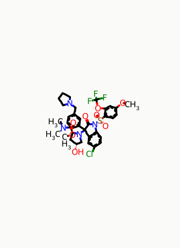 COc1ccc(S(=O)(=O)N2C(=O)C(c3cc(CN4CCCC4)ccc3OC)(N3C[C@H](O)C[C@H]3C(=O)N(C)C)c3cc(Cl)ccc32)c(OC(F)(F)F)c1